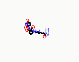 CNC(=O)CCCCCCNc1cccc2c1C(=O)N(C1CCC(=O)N(C)C1=O)C2=O